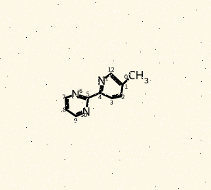 Cc1c[c]c(-c2ncccn2)nc1